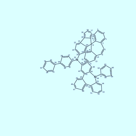 C1=Cc2ccccc2C2(c3ccccc31)c1ccccc1-c1ccc(N(c3ccc(-c4ccccc4)cc3)c3ccc4c(c3)-c3ccccc3-c3ccccc3N4c3ccccc3)cc12